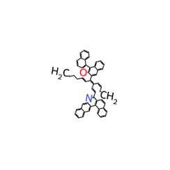 C=C\C=C/C(/C=C/c1nc2cc3ccccc3cc2c2c1ccc1ccccc12)=C(/C=C/CCC=C)c1cc2ccccc2c2c1oc1ccc3ccccc3c12